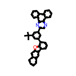 CC(C)(C)c1cc(-c2cnc3c4ccccc4c4ccccc4c3n2)cc(-c2cccc3c2oc2cc4ccccc4cc23)c1